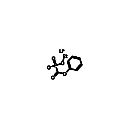 CCOP(=O)([O-])C(=O)Oc1ccccc1.[Li+]